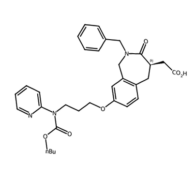 CCCCOC(=O)N(CCCOc1ccc2c(c1)CN(Cc1ccccc1)C(=O)[C@@H](CC(=O)O)C2)c1ccccn1